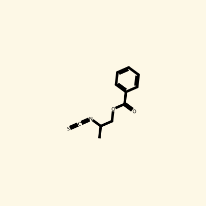 CC(COC(=O)c1ccccc1)N=C=S